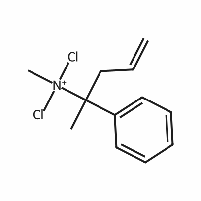 C=CCC(C)(c1ccccc1)[N+](C)(Cl)Cl